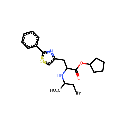 CC(C)CC(NC(Cc1csc(-c2ccccc2)n1)C(=O)OC1CCCC1)C(=O)O